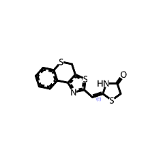 O=C1CS/C(=C/c2nc3c(s2)CSc2ccccc2-3)N1